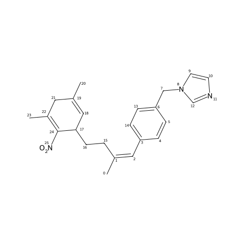 CC(=Cc1ccc(Cn2ccnc2)cc1)CCC1C=C(C)CC(C)=C1[N+](=O)[O-]